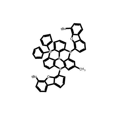 Cc1cc2c3c(c1)N(c1cccc4c1oc1c(C(C)(C)C)cccc14)c1cccc4c1B3c1c(cccc1[Si]4(c1ccccc1)c1ccccc1)N2c1cccc2c1oc1c(C(C)(C)C)cccc12